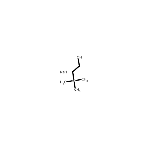 C[Si](C)(C)CCO.[NaH]